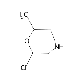 CC1CNCC(Cl)O1